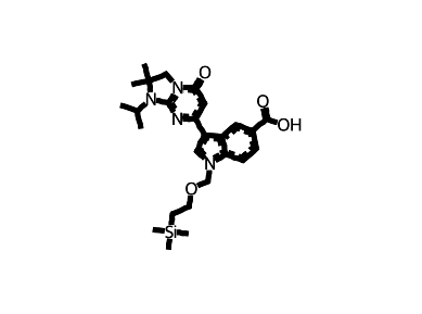 CC(C)N1c2nc(-c3cn(COCC[Si](C)(C)C)c4ccc(C(=O)O)cc34)cc(=O)n2CC1(C)C